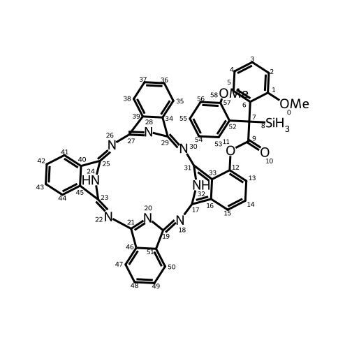 COc1ccccc1C([SiH3])(C(=O)Oc1cccc2c3nc4nc(nc5[nH]c(nc6nc(nc([nH]3)c12)-c1ccccc1-6)c1ccccc51)-c1ccccc1-4)c1ccccc1OC